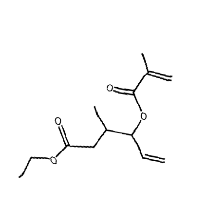 C=CC(OC(=O)C(=C)C)C(C)CC(=O)OCC